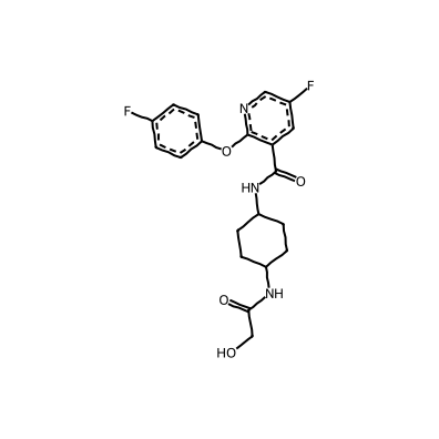 O=C(CO)NC1CCC(NC(=O)c2cc(F)cnc2Oc2ccc(F)cc2)CC1